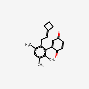 Cc1cc(C)c(CC=C2CCC2)c(C2=CC(=O)C=CC2=O)c1C